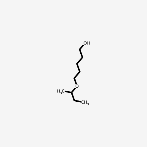 CCC(C)OCCCCCO